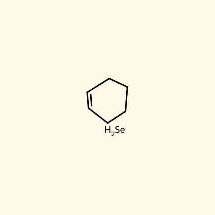 C1=CCCCC1.[SeH2]